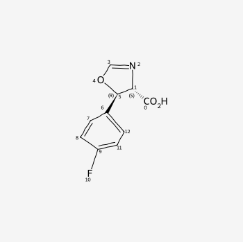 O=C(O)[C@H]1N=CO[C@@H]1c1ccc(F)cc1